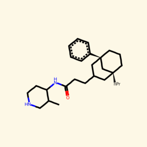 CCC[C@@]12CCC[C@@](c3ccccc3)(CC(CCC(=O)NC3CCNCC3C)C1)C2